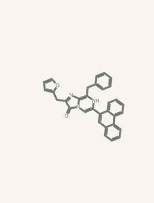 O=c1c(Cc2ccco2)nc2c(Cc3ccccc3)[nH]c(-c3cc4ccccc4c4ccccc34)cn1-2